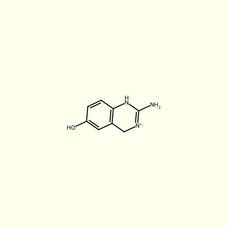 NC1=[N+]Cc2cc(O)ccc2N1